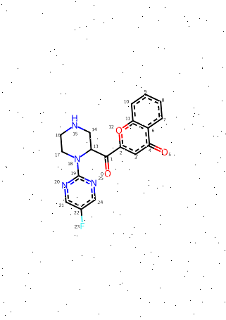 O=C(c1cc(=O)c2ccccc2o1)C1CNCCN1c1ncc(F)cn1